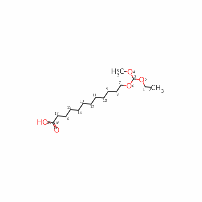 CCOC(OC)OCCCCCCCCCCCC(=O)O